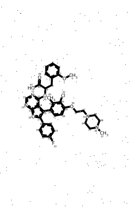 COc1ccccc1CC(Oc1ncnc2oc(-c3ccc(F)cc3)c(-c3ccc(OCCN4CCN(C)CC4)c(Cl)c3C)c12)C(=O)O